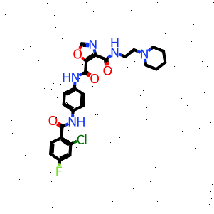 O=C(Nc1ccc(NC(=O)c2ocnc2C(=O)NCCN2CCCCC2)cc1)c1ccc(F)cc1Cl